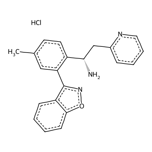 Cc1ccc([C@@H](N)Cc2ccccn2)c(-c2noc3ccccc23)c1.Cl